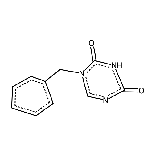 O=c1ncn(Cc2ccccc2)c(=O)[nH]1